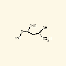 CC(C)(C)ON(C=O)C[C@H](O)C(=O)O